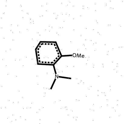 [CH2]N(C)c1ccccc1OC